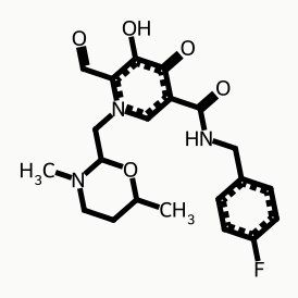 CC1CCN(C)C(Cn2cc(C(=O)NCc3ccc(F)cc3)c(=O)c(O)c2C=O)O1